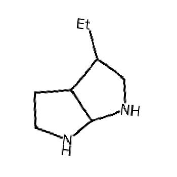 CCC1CNC2NCCC12